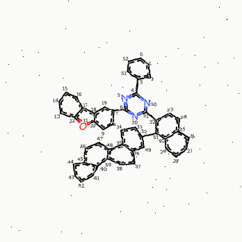 c1ccc(-c2nc(-c3ccc4oc5ccccc5c4c3)nc(-c3ccc4ccccc4c3-c3ccc4c(ccc5c6ccccc6ccc45)c3)n2)cc1